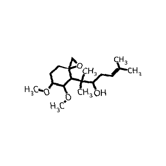 COC1CC[C@]2(CO2)C(C(C)(C)C(O)CC=C(C)C)C1OC